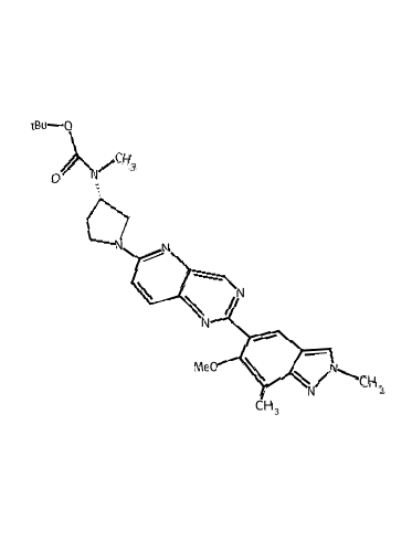 COc1c(-c2ncc3nc(N4CC[C@H](N(C)C(=O)OC(C)(C)C)C4)ccc3n2)cc2cn(C)nc2c1C